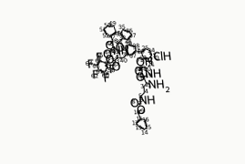 Cl.N[C@@H](CCCNC(=O)OCc1ccccc1)C(=O)N[C@@H](Cc1cccc(-c2ccc(OCc3ccccc3)c(C[C@H](NC(=O)OCc3ccccc3)C(=O)Oc3c(F)c(F)c(F)c(F)c3F)c2)c1)C(=O)O